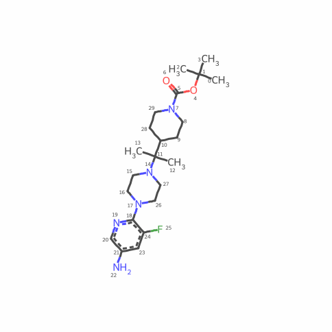 CC(C)(C)OC(=O)N1CCC(C(C)(C)N2CCN(c3ncc(N)cc3F)CC2)CC1